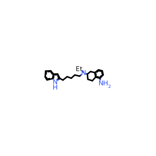 CCN(CCCCCc1cc2ccccc2[nH]1)C1CCc2c(N)cccc2C1